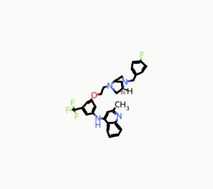 Cc1cc(Nc2cc(OCCN3C[C@@H]4CC3CN4Cc3ccc(F)cc3)cc(C(F)(F)F)c2)c2ccccc2n1